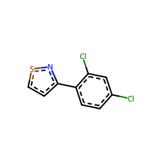 Clc1ccc(-c2ccsn2)c(Cl)c1